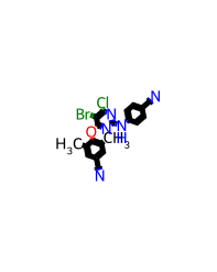 Cc1cc(C#N)cc(C)c1Oc1nc(Nc2ccc(C#N)cc2)nc(Cl)c1Br